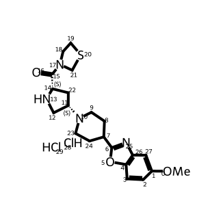 COc1ccc2oc(C3CCN([C@@H]4CN[C@H](C(=O)N5CCSC5)C4)CC3)nc2c1.Cl.Cl